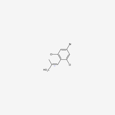 C/C(=C\c1c(Cl)cc(Br)cc1Cl)C(=O)O